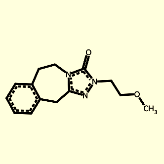 COCCn1nc2n(c1=O)CCc1ccccc1C2